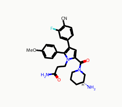 COc1ccc(-c2c(-c3ccc(C#N)c(F)c3)cc(C(=O)N3CCC[C@@H](N)C3)n2CCC(N)=O)cc1